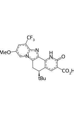 COc1cc(C(F)(F)F)c2nc3c(n2c1)C[C@H](C(C)(C)C)c1cc(C(=O)O)c(=O)[nH]c1-3